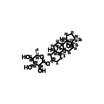 C[C@@H]1O[C@@H](O[C@H]2CC[C@@]3(C)[C@H](CC[C@@H]4[C@@H]3CC[C@]3(C)[C@@H](C)CC[C@]43O)C2)[C@H](O)[C@H](O)[C@H]1O